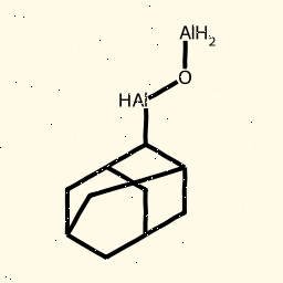 [AlH2][O][AlH][CH]1C2CC3CC(C2)CC1C3